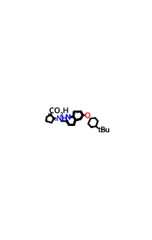 CC(C)(C)C1CCC(Oc2ccc3nc(CN[C@@H]4CCC[C@@H]4C(=O)O)ccc3c2)CC1